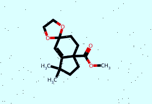 COC(=O)C12CCC3(C=C1C(C)(C)CC2)OCCO3